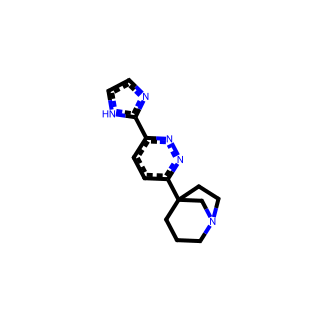 c1c[nH]c(-c2ccc(C34CCCN(CC3)C4)nn2)n1